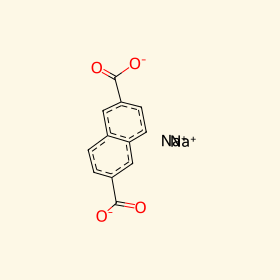 O=C([O-])c1ccc2cc(C(=O)[O-])ccc2c1.[Na+].[Na+]